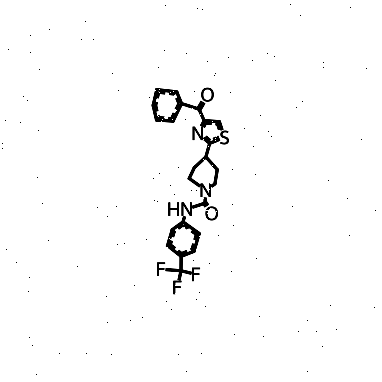 O=C(c1ccccc1)c1csc(C2CCN(C(=O)Nc3ccc(C(F)(F)F)cc3)CC2)n1